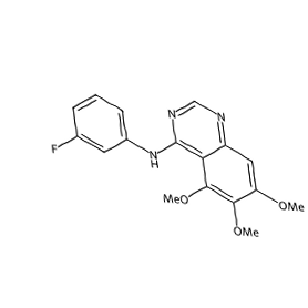 COc1cc2ncnc(Nc3cccc(F)c3)c2c(OC)c1OC